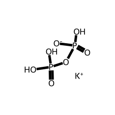 O=P([O-])(O)OP(=O)(O)O.[K+]